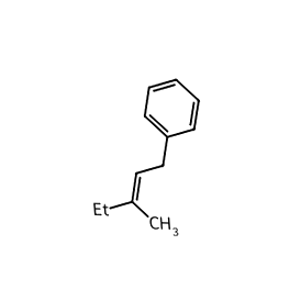 [CH2]CC(C)=CCc1ccccc1